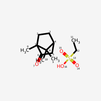 CC12CCC(CC1=O)C2(C)C.CCS(=O)(=O)O